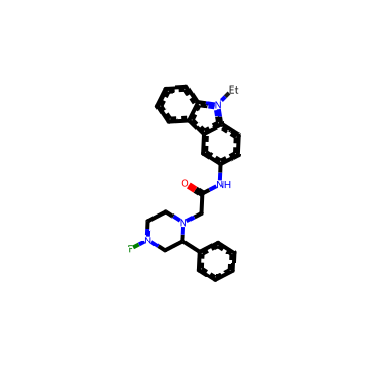 CCn1c2ccccc2c2cc(NC(=O)CN3CCN(F)CC3c3ccccc3)ccc21